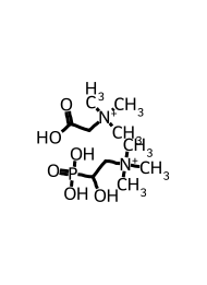 C[N+](C)(C)CC(=O)O.C[N+](C)(C)CC(O)P(=O)(O)O